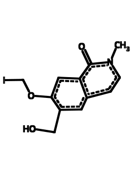 Cn1ccc2cc(CO)c(OCI)cc2c1=O